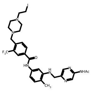 CC(=O)Nc1cnc(CNc2cc(NC(=O)c3ccc(CN4CCN(CCI)CC4)c(C(F)(F)F)c3)ccc2C)cn1